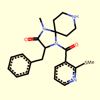 CSc1ncccc1C(=O)N1C(Cc2ccccc2)C(=O)N(C)C12CCNCC2